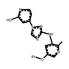 Cc1ncc(OC(C)C)cc1Nc1ncn(-c2ccnc(O)c2)n1